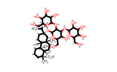 C=C(C)[C@]1(OC2OC(CO)C(O)C(OC3OC(CO)C(O)C(O)C3O)C2OC2OC(CO)C(O)C(O)C2O)CC[C@@H]2[C@@](C)(CC[C@H]3[C@@]2(C)CCC[C@@]3(C)C(=O)O)C1